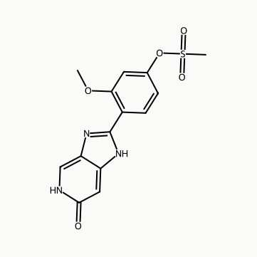 COc1cc(OS(C)(=O)=O)ccc1-c1nc2c[nH]c(=O)cc2[nH]1